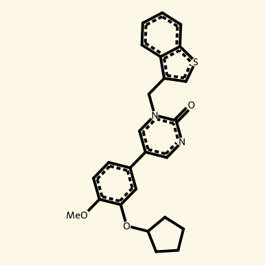 COc1ccc(-c2cnc(=O)n(Cc3csc4ccccc34)c2)cc1OC1CCCC1